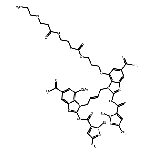 CCn1nc(C)cc1C(=O)Nc1nc2cc(C(N)=O)cc(OC)c2n1C/C=C/Cn1c(NC(=O)c2cc(C)nn2CC)nc2cc(C(N)=O)cc(OCCCOC(=O)OCCNC(=O)CCOCCN)c21